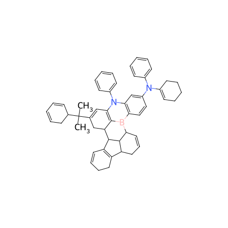 CC(C)(C1=CC2=C3B(c4ccc(N(C5=CCCCC5)c5ccccc5)cc4N2c2ccccc2)C2C=CCC4C5=C(C=CCC5)C(C3C1)C24)C1C=CC=CC1